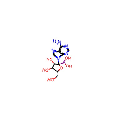 Nc1ncnc2c1ncn2[C@]1(P(O)O)O[C@H](CO)[C@@H](O)[C@H]1O